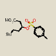 Cc1ccc(S(=O)(=O)OC(CCC(C)(C)C)CC(=O)O)cc1